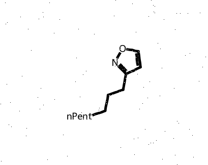 CCCCCCCCc1ccon1